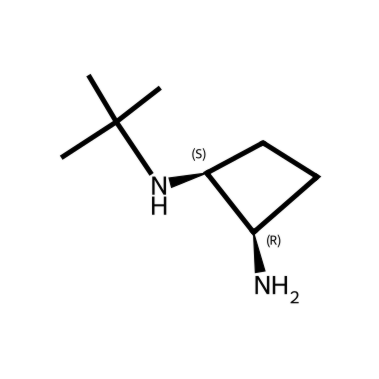 CC(C)(C)N[C@H]1CC[C@H]1N